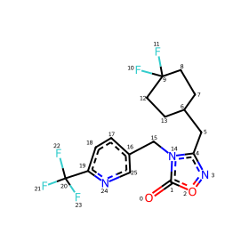 O=c1onc(CC2CCC(F)(F)CC2)n1Cc1ccc(C(F)(F)F)nc1